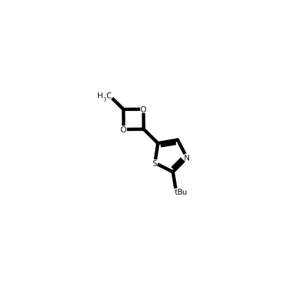 CC1OC(c2cnc(C(C)(C)C)s2)O1